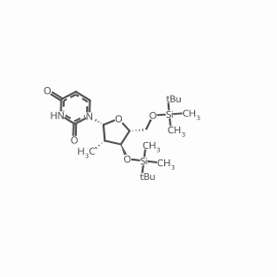 C[C@H]1[C@H](O[Si](C)(C)C(C)(C)C)[C@@H](CO[Si](C)(C)C(C)(C)C)O[C@H]1n1ccc(=O)[nH]c1=O